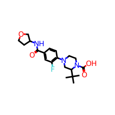 CC(C)(C)C1CN(c2ccc(C(=O)NC3CCOC3)cc2F)CCN1C(=O)O